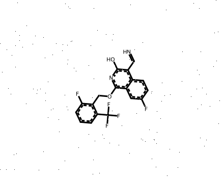 N=Cc1c(O)nc(OCc2c(F)cccc2C(F)(F)F)c2cc(F)ccc12